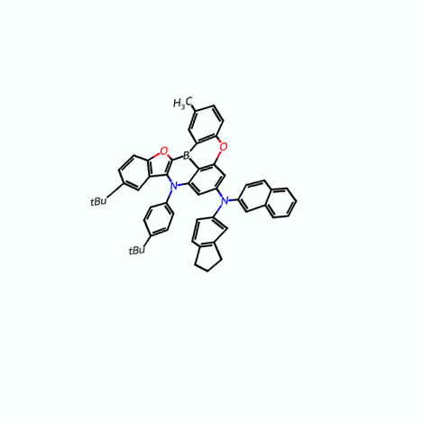 Cc1ccc2c(c1)B1c3oc4ccc(C(C)(C)C)cc4c3N(c3ccc(C(C)(C)C)cc3)c3cc(N(c4ccc5c(c4)CCC5)c4ccc5ccccc5c4)cc(c31)O2